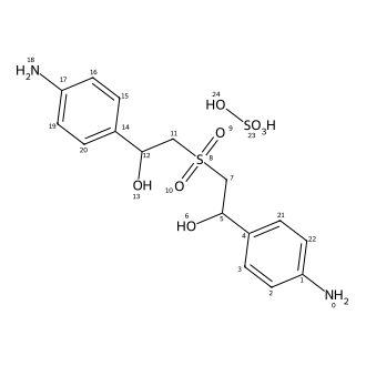 Nc1ccc(C(O)CS(=O)(=O)CC(O)c2ccc(N)cc2)cc1.O=S(=O)(O)O